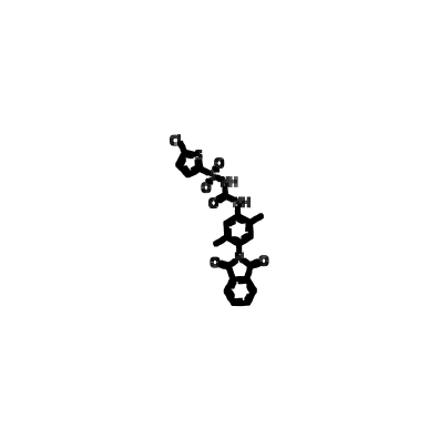 Cc1cc(N2C(=O)c3ccccc3C2=O)c(C)cc1NC(=O)NS(=O)(=O)c1ccc(Cl)s1